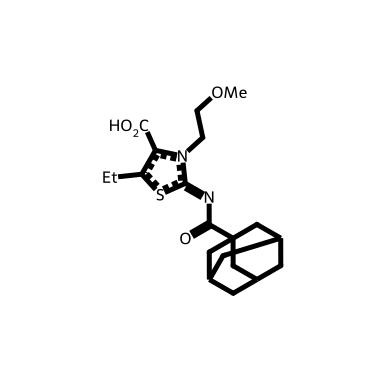 CCc1sc(=NC(=O)C23CC4CC(CC(C4)C2)C3)n(CCOC)c1C(=O)O